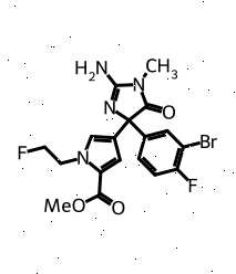 COC(=O)c1cc(C2(c3ccc(F)c(Br)c3)N=C(N)N(C)C2=O)cn1CCF